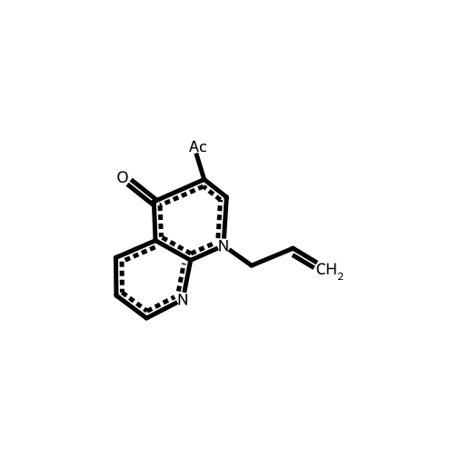 C=CCn1cc(C(C)=O)c(=O)c2cccnc21